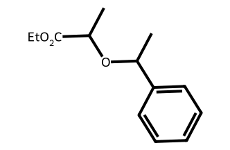 CCOC(=O)C(C)OC(C)c1ccccc1